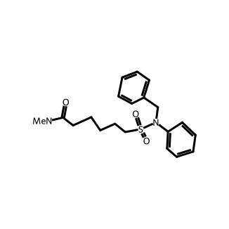 CNC(=O)CCCCCS(=O)(=O)N(Cc1ccccc1)c1ccccc1